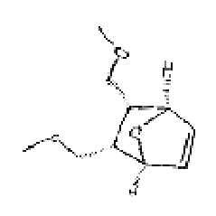 COC[C@@H]1[C@H](COC)[C@H]2C=C[C@@H]1O2